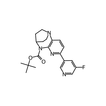 CC(C)(C)OC(=O)N1c2nc(-c3cncc(F)c3)ccc2N2CCC1CC2